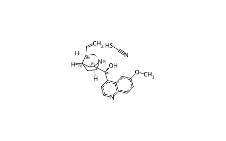 C=C[C@H]1C[N@]2CC[C@H]1C[C@@H]2[C@@H](O)c1ccnc2ccc(OC)cc12.N#CS